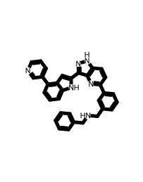 c1ccc(CNCc2cccc(-c3ccc4[nH]nc(-c5cc6c(-c7cccnc7)cccc6[nH]5)c4n3)c2)cc1